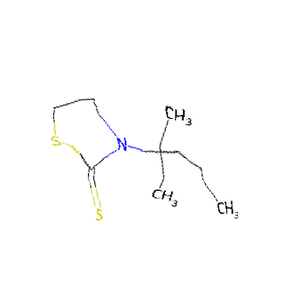 CCC(C)(C)N1CCSC1=S